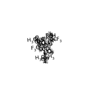 CC(C)(C#Cc1nc([C@H](Cc2cc(F)cc(F)c2)NC(=O)Cn2nc(C(F)(F)F)c3c2C(F)(F)[C@@]24CC2[C@H]34)c(-c2ccc(Cl)c3c(NS(C)(=O)=O)nn(CC(F)(F)F)c23)c2c1CCC2)S(=O)(=O)C1CC1